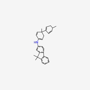 CC1C=CC(C2(C)C=CC(Nc3ccc4c(c3)C(C)(C)c3ccccc3-4)=CC2)=CC1